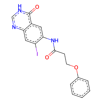 O=C(CCOc1ccccc1)Nc1cc2c(=O)[nH]cnc2cc1I